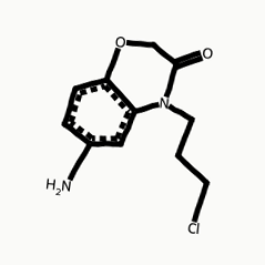 Nc1ccc2c(c1)N(CCCCl)C(=O)CO2